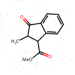 COC(=O)C1c2ccccc2C(=O)C1C